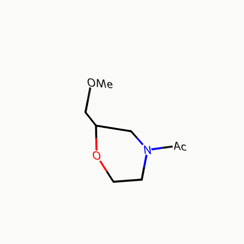 COCC1CN(C(C)=O)CCO1